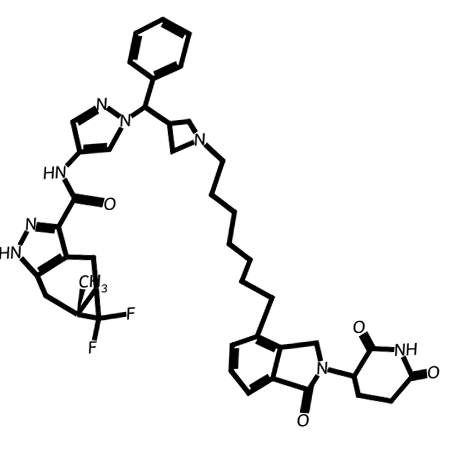 C[C@@]12Cc3[nH]nc(C(=O)Nc4cnn(C(c5ccccc5)C5CN(CCCCCCCc6cccc7c6CN(C6CCC(=O)NC6=O)C7=O)C5)c4)c3CC1C2(F)F